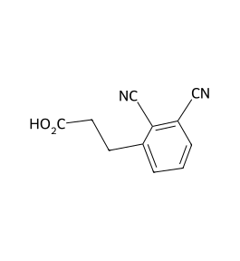 N#Cc1cccc(CCC(=O)O)c1C#N